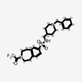 O=C(N1CCc2ccc(S(=O)(=O)NCC3CCN(Cc4ccccc4)CC3)cc2CC1)C(F)(F)F